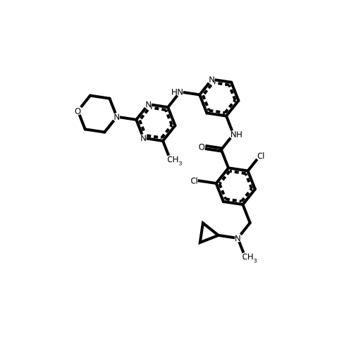 Cc1cc(Nc2cc(NC(=O)c3c(Cl)cc(CN(C)C4CC4)cc3Cl)ccn2)nc(N2CCOCC2)n1